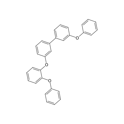 c1ccc(Oc2cccc(-c3cccc(Oc4ccccc4Oc4ccccc4)c3)c2)cc1